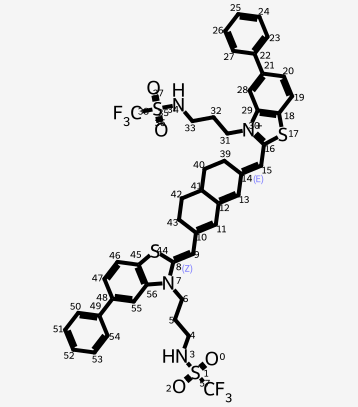 O=S(=O)(NCCCN1/C(=C/C2=CC3=C/C(=C/c4sc5ccc(-c6ccccc6)cc5[n+]4CCCNS(=O)(=O)C(F)(F)F)CCC3CC2)Sc2ccc(-c3ccccc3)cc21)C(F)(F)F